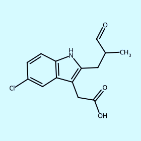 CC(C=O)Cc1[nH]c2ccc(Cl)cc2c1CC(=O)O